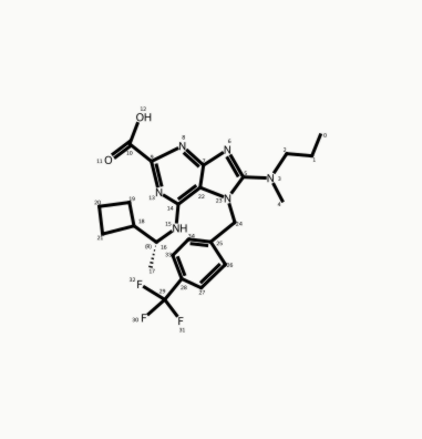 CCCN(C)c1nc2nc(C(=O)O)nc(N[C@H](C)C3CCC3)c2n1Cc1ccc(C(F)(F)F)cc1